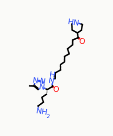 Cc1cn([C@@H](CCCCN)C(=O)NCCCCCCCCCCC(=O)C2CCNCC2)nn1